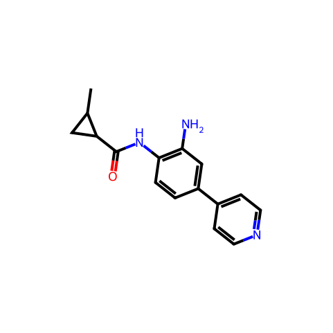 CC1CC1C(=O)Nc1ccc(-c2ccncc2)cc1N